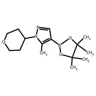 Cc1c(B2OC(C)(C)C(C)(C)O2)cnn1C1CCOCC1